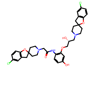 O=C(CN1CCC2(CC1)Cc1cc(Cl)ccc1O2)Nc1ccc(O)cc1OC[C@H](O)CN1CCC2(CC1)Cc1cc(Cl)ccc1O2